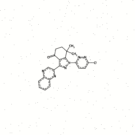 CC1(C)CCC(=O)c2c(-c3cnc4ccccc4n3)nn(-c3ccc(Cl)nn3)c21